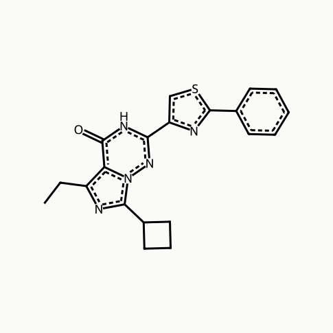 CCc1nc(C2CCC2)n2nc(-c3csc(-c4ccccc4)n3)[nH]c(=O)c12